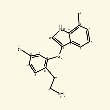 Cc1cccc2c(Sc3cc(Cl)ccc3CCN)c[nH]c12